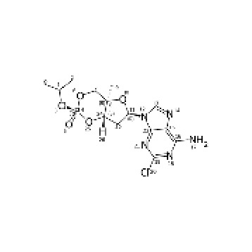 CC(C)O[P@@]1(=O)OC[C@@]2(C)O[C@@H](n3cnc4c(N)nc(Cl)nc43)C[C@@H]2O1